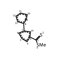 CSC(=S)c1cccc(-c2ccccc2)c1